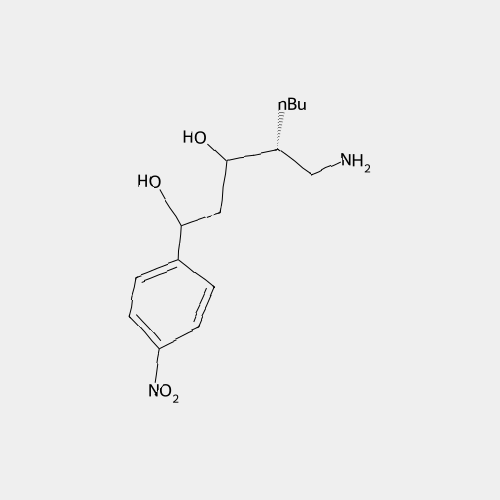 CCCC[C@H](CN)C(O)CC(O)c1ccc([N+](=O)[O-])cc1